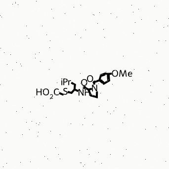 COc1ccc(C(=O)N2CCCC2C(=O)NC(CSCC(=O)O)CC(C)C)cc1